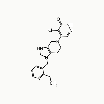 CCc1ncccc1CN1CNC2=C1CCN(c1cn[nH]c(=O)c1Cl)C2